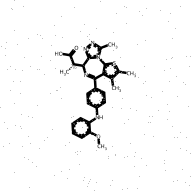 COc1ccccc1Nc1ccc(C2=NC([C@H](C)C(=O)O)c3nnc(C)n3-c3sc(C)c(C)c32)cc1